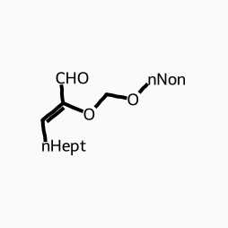 CCCCCCCC=C(C=O)OCOCCCCCCCCC